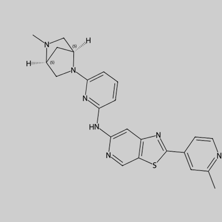 Cc1cc(-c2nc3cc(Nc4cccc(N5C[C@@H]6C[C@H]5CN6C)n4)ncc3s2)ccn1